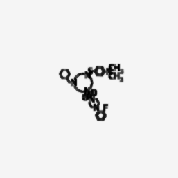 CN(C)c1ccc(SN2CCCN(CC3CCCCC3)CCCN(S(=O)(=O)N3CCN(c4ccccc4F)CC3)CCC2)cc1